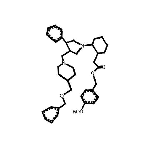 COc1ccc(COC(=O)CC2CCCCC2N2CC(CN3CCC(COCc4ccccc4)CC3)C(c3ccccc3)C2)cc1